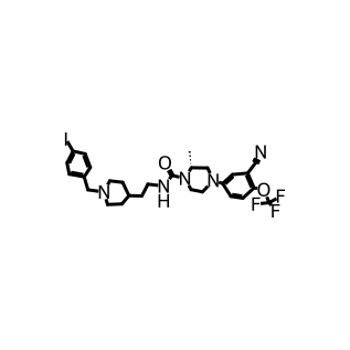 C[C@@H]1CN(c2ccc(OC(F)(F)F)c(C#N)c2)CCN1C(=O)NCCC1CCN(Cc2ccc(I)cc2)CC1